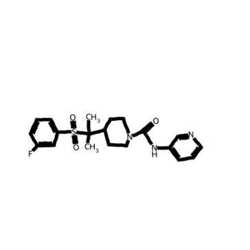 CC(C)(C1CCN(C(=O)Nc2cccnc2)CC1)S(=O)(=O)c1cccc(F)c1